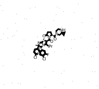 CC(C)C1=C(C(=O)N2C(=O)CC[C@H]2C(=O)N2CCNC3(CC3)C2)SC2=N[C@@](C)(c3ccc(Cl)nc3)[C@@H](c3ccc(Cl)c(F)c3)N21